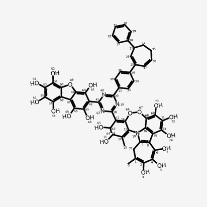 CC1=C(O)C(O)=C(O)c2c(n3c(=C(\C)CO)/c(=C(/c4nc(-c5ccc(C6=CC(c7ccccc7)CCC=C6)cc5)nc(-c5c(O)c(O)c6c(oc7c(O)c(O)c(O)c(O)c76)c5O)n4)C(C)O)ooc4c(O)c(O)c(O)c2c43)C1